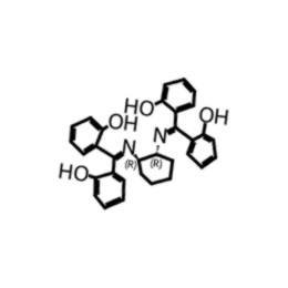 Oc1ccccc1C(=N[C@@H]1CCCC[C@H]1N=C(c1ccccc1O)c1ccccc1O)c1ccccc1O